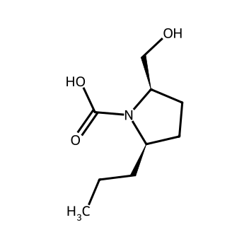 CCC[C@@H]1CC[C@H](CO)N1C(=O)O